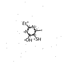 CCc1nc(C)c(S)c(O)n1